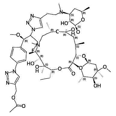 CC[C@H]1OC(=O)[C@H](C)[C@@H](O[C@H]2C[C@@](C)(OC)[C@@H](O)[C@H](C)O2)[C@H](C)[C@@H](O[C@@H]2O[C@H](C)C[C@H](N(C)CCc3cn(C(CF)[C@H](OC)c4ccc(-n5cc(COC(C)=O)nn5)cc4)nn3)[C@H]2O)[C@](C)(O)C[C@@H](C)CN(C)[C@H](C)[C@@H](O)[C@]1(C)O